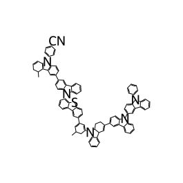 CC1C=C(c2ccc3sc4c(-n5c6ccccc6c6cc(-c7ccc8c(c7)c7c(n8-c8ccc(C#N)cc8)C=CCC7C)ccc65)cccc4c3c2)C=C(N2c3ccccc3C3C=C(c4ccc5c(c4)c4ccccc4n5-c4ccc5c(c4)c4ccccc4n5-c4ccccc4)CCC32)C1